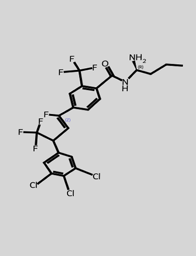 CCC[C@H](N)NC(=O)c1ccc(/C(F)=C/C(c2cc(Cl)c(Cl)c(Cl)c2)C(F)(F)F)cc1C(F)(F)F